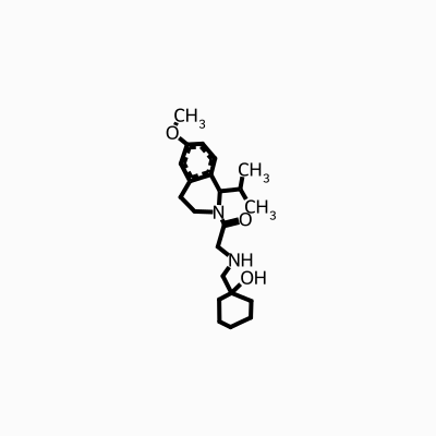 COc1ccc2c(c1)CCN(C(=O)CNCC1(O)CCCCC1)C2C(C)C